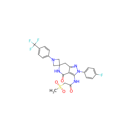 CS(=O)(=O)CC(=O)Nc1c2c(nn1-c1ccc(F)cc1)CC1(CN(c3ccc(C(F)(F)F)cc3)C1)NC2=O